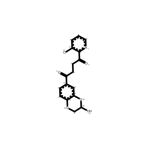 O=C(CCC(=O)c1ncccc1Cl)c1ccc2c(c1)OC(O)CO2